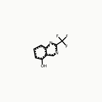 Oc1cccc2nc(C(F)(F)F)ncc12